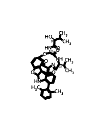 Cc1cccc(C)c1-c1cccc2c1NC1Oc3ccc4cc3C21c1oc(nc1C=O)[C@H](C(C)C)NC(=O)[C@@H](NC(=O)[C@@H](O)C(C)C)C4